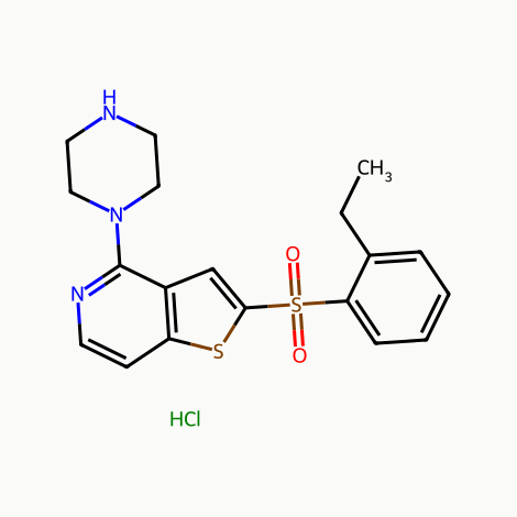 CCc1ccccc1S(=O)(=O)c1cc2c(N3CCNCC3)nccc2s1.Cl